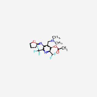 CC(=O)Oc1c(C(F)F)nc(C(F)(F)F)c(N=C2CCCO2)c1CN(C)C